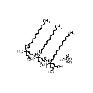 CCCCCCCCCCCCNC(C)(CCO)CCO.CCCCCCCCCCCCNC(C)(CCO)CCO.CCCCCCCCCCCCNC(C)(CCO)CCO.O=P(O)(O)O